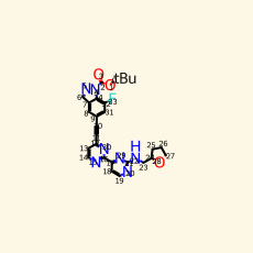 CC(C)(C)OC(=O)n1ncc2cc(C#Cc3ccnc(-c4ccnc(NCC5CCCO5)n4)n3)cc(F)c21